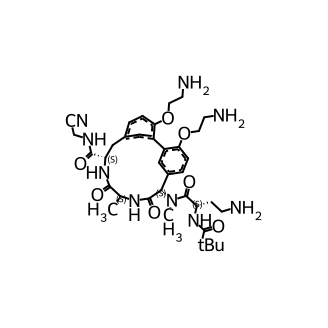 C[C@@H]1NC(=O)[C@@H](N(C)C(=O)[C@H](CCN)NC(=O)C(C)(C)C)c2ccc(OCCN)c(c2)-c2cc(ccc2OCCN)C[C@@H](C(=O)NCC#N)NC1=O